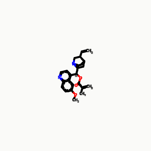 C=CC1CN2CCC1CC2[C@@H](OC(=O)C(=C)C)c1ccnc2ccc(OC)cc12